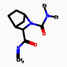 C=NC(=O)C1C2CCC(C2)N1C(=O)N(CC)CC